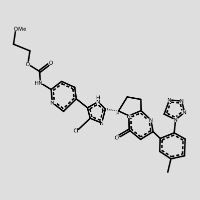 COCCOC(=O)Nc1ccc(-c2[nH]c([C@@H]3CCc4nc(-c5cc(C)ccc5-n5cnnn5)cc(=O)n43)nc2Cl)cn1